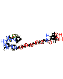 Cc1nc(Nc2ncc(C(=O)Nc3c(C)cccc3Cl)s2)cc(N2CCN(CCOCCOCCOCCOCCOCCNC(=O)[C@H]3C[C@H]4C[C@@H]3[C@@H](O)[C@H]4O)CC2)n1